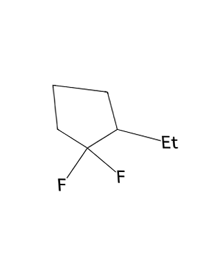 CCC1CCCC1(F)F